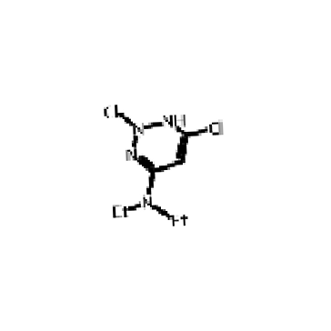 CCN(CC)C1=NN(Cl)NC(Cl)=C1